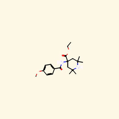 CCOC(=O)C1(NC(=O)c2ccc(OC)cc2)CC(C)(C)NC(C)(C)C1